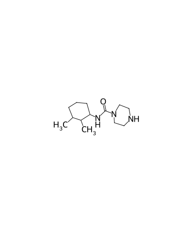 CC1CCCC(NC(=O)N2CCNCC2)C1C